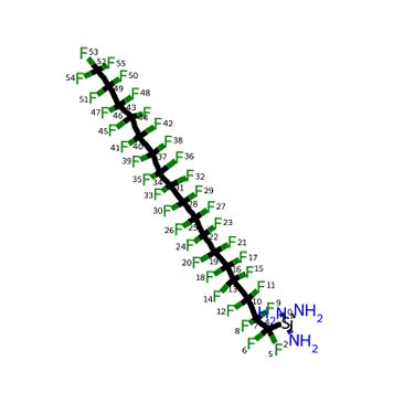 N[Si](N)(N)C(F)(F)C(F)(F)C(F)(F)C(F)(F)C(F)(F)C(F)(F)C(F)(F)C(F)(F)C(F)(F)C(F)(F)C(F)(F)C(F)(F)C(F)(F)C(F)(F)C(F)(F)C(F)(F)C(F)(F)F